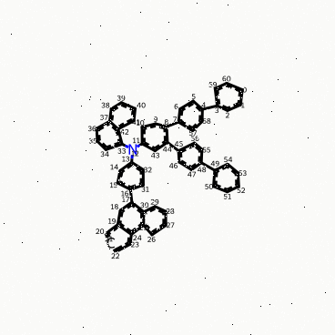 c1ccc(-c2ccc(-c3ccc(N(c4ccc(-c5cc6ccccc6c6ccccc56)cc4)c4cccc5ccccc45)cc3-c3ccc(-c4ccccc4)cc3)cc2)cc1